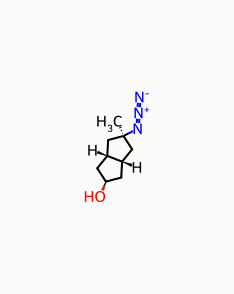 C[C@@]1(N=[N+]=[N-])C[C@H]2C[C@H](O)C[C@H]2C1